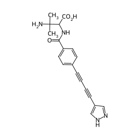 CC(C)(N)C(NC(=O)c1ccc(C#CC#Cc2cn[nH]c2)cc1)C(=O)O